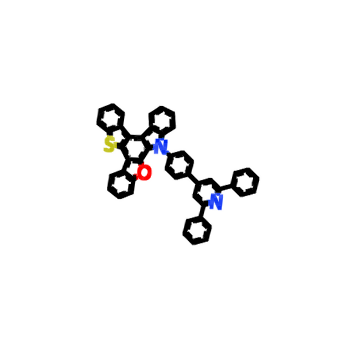 c1ccc(-c2cc(-c3ccc(-n4c5ccccc5c5c6c7ccccc7sc6c6c7ccccc7oc6c54)cc3)cc(-c3ccccc3)n2)cc1